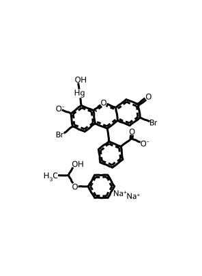 CC(O)Oc1ccccc1.O=C([O-])c1ccccc1-c1c2cc(Br)c(=O)cc-2oc2[c]([Hg][OH])c([O-])c(Br)cc12.[Na+].[Na+]